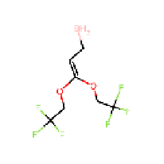 BCC=C(OCC(F)(F)F)OCC(F)(F)F